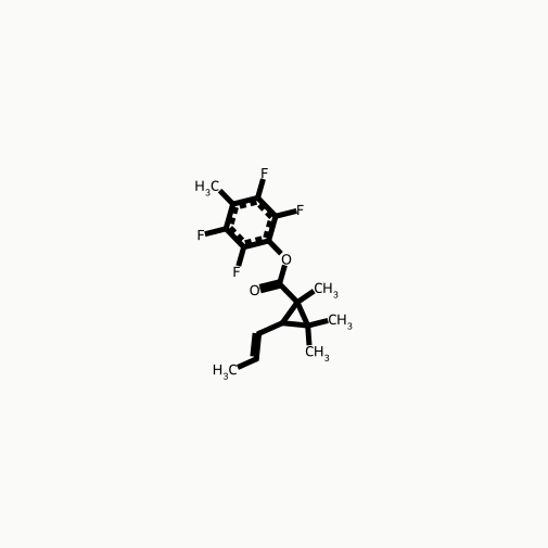 CC=CC1C(C)(C)C1(C)C(=O)Oc1c(F)c(F)c(C)c(F)c1F